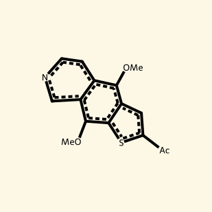 COc1c2ccncc2c(OC)c2sc(C(C)=O)cc12